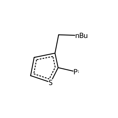 CCCCCc1ccsc1[P]